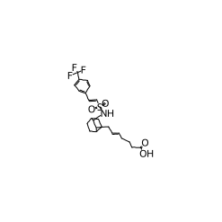 O=C(O)CCCC=CCC1C2CCC(CC2)C1NS(=O)(=O)C=Cc1ccc(C(F)(F)F)cc1